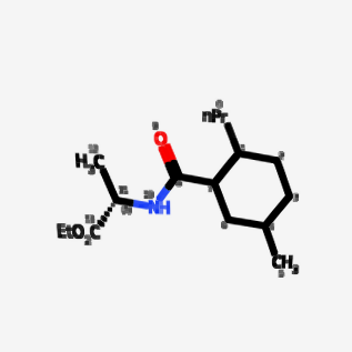 CCCC1CCC(C)CC1C(=O)N[C@@H](C)C(=O)OCC